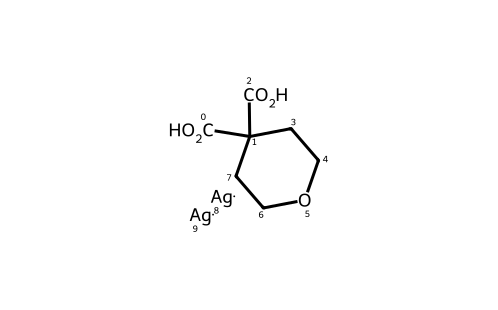 O=C(O)C1(C(=O)O)CCOCC1.[Ag].[Ag]